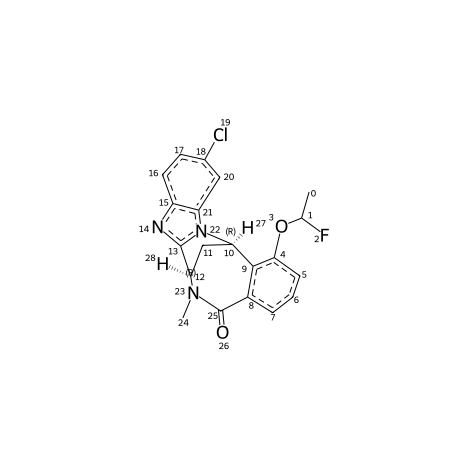 CC(F)Oc1cccc2c1[C@H]1C[C@H](c3nc4ccc(Cl)cc4n31)N(C)C2=O